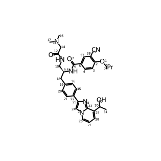 CC(C)Oc1ccc(C(=O)N[C@H](CNC(=O)CN(C)C)Cc2ccc(-c3cn4cccc(C(C)O)c4n3)cc2)cc1C#N